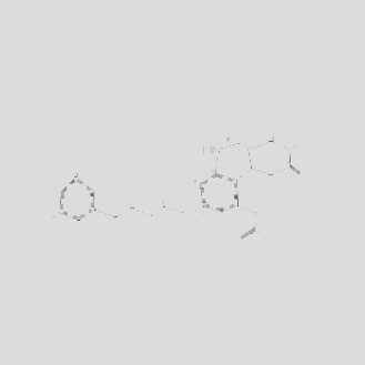 CC(=O)Oc1cc(OCCCCc2ccccc2)cc2c1C1CC(=O)CCC1[C@@H](C)N2